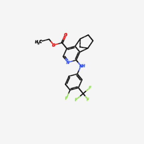 CCOC(=O)c1cnc(Nc2ccc(F)c(C(F)(F)F)c2)c2c1C1CCC2C1